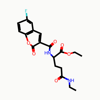 CCNC(=O)CCC(NC(=O)c1cc2cc(F)ccc2oc1=O)C(=O)OCC